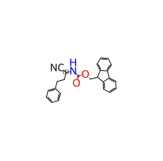 N#C[C@H](CCc1ccccc1)NC(=O)OCC1c2ccccc2-c2ccccc21